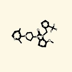 COc1cccc2c1n(Cc1ccccc1C(F)(F)F)c(=O)n2C1CCN(c2c(C)ccnc2C)CC1